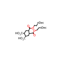 CCCCCCCCCCCCOC(=O)C1CC(C(=O)O)C(C(=O)O)CC1C(=O)OCCCCCCCCCCCC